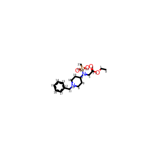 CCOC(=O)CN(C1CCN(Cc2ccccc2)CC1)S(C)(=O)=O